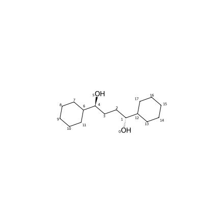 O[C@H](CC[C@H](O)C1CCCCC1)C1CCCCC1